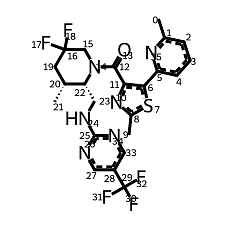 Cc1cccc(-c2sc(C)nc2C(=O)N2CC(F)(F)C[C@@H](C)[C@H]2CNc2ncc(C(F)(F)F)cn2)n1